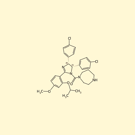 COc1ccc(C2=N[C@H](c3ccc(Cl)cc3)[C@H](c3ccc(Cl)cc3)N2C(=O)N2CCCNCC2)c(OC(C)C)c1